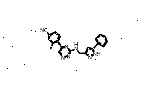 Cc1cc(C#N)ccc1-c1cnnc(NCc2cc(-c3ccccc3)[nH]n2)n1